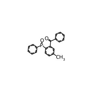 Cc1ccc([P](=O)c2ccccc2)c(C(=O)c2ccccc2)c1